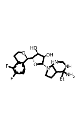 CCC1(N)NCNC2C1CCN2[C@@H]1O[C@H]([C@@H]2OCCc3c2ccc(F)c3F)[C@@H](O)[C@H]1O